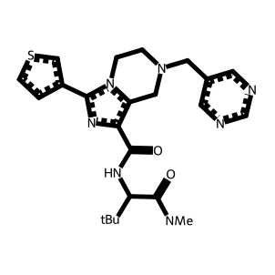 CNC(=O)C(NC(=O)c1nc(-c2ccsc2)n2c1CN(Cc1cncnc1)CC2)C(C)(C)C